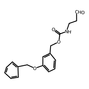 O=CCCNC(=O)OCc1cccc(OCc2ccccc2)c1